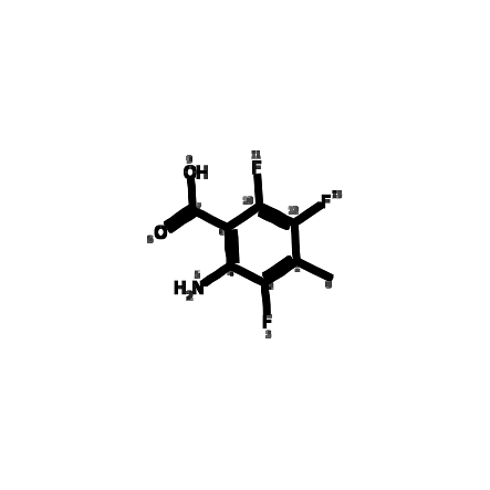 Cc1c(F)c(N)c(C(=O)O)c(F)c1F